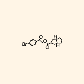 O=C(COC(=O)C1C[C@H]2CCC[C@H]2C1)c1ccc(Br)cc1